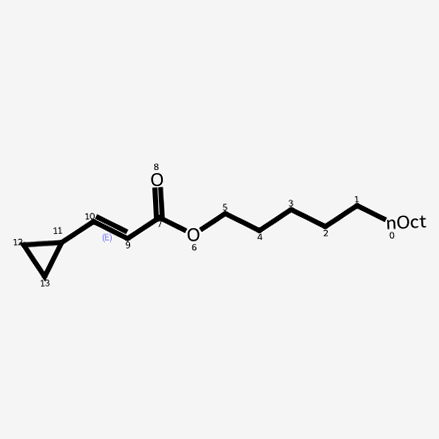 CCCCCCCCCCCCCOC(=O)/C=C/C1CC1